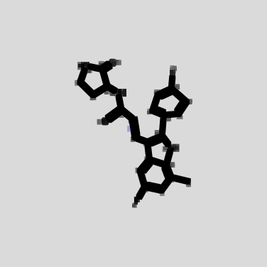 Cc1cc(F)cc2c(/C=C/C(=O)NC3CCNC3=O)c(-c3ccc(F)cc3)[nH]c12